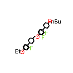 CCCCOC1CCC(c2ccc(OCC3CCC(c4ccc(OCC)cc4F)CC3)c(F)c2F)CC1